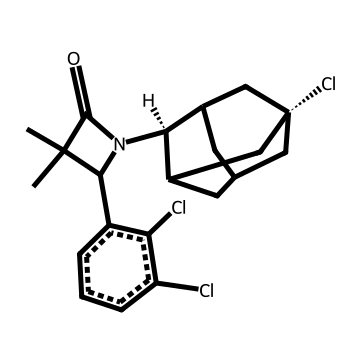 CC1(C)C(=O)N([C@H]2C3CC4CC2C[C@](Cl)(C4)C3)C1c1cccc(Cl)c1Cl